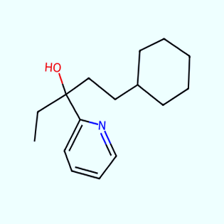 CCC(O)(CCC1CCCCC1)c1ccccn1